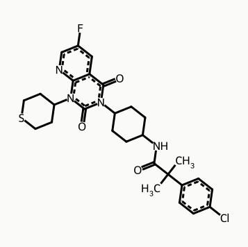 CC(C)(C(=O)NC1CCC(n2c(=O)c3cc(F)cnc3n(C3CCSCC3)c2=O)CC1)c1ccc(Cl)cc1